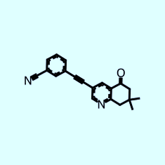 CC1(C)CC(=O)c2cc(C#Cc3cccc(C#N)c3)cnc2C1